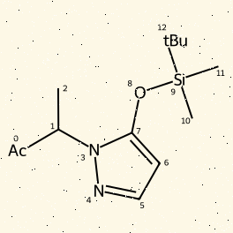 CC(=O)C(C)n1nccc1O[Si](C)(C)C(C)(C)C